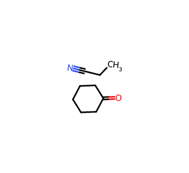 CCC#N.O=C1CCCCC1